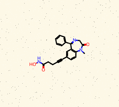 CN1C(=O)CN=C(c2ccccc2)c2cc(C#CCCC(=O)NO)ccc21